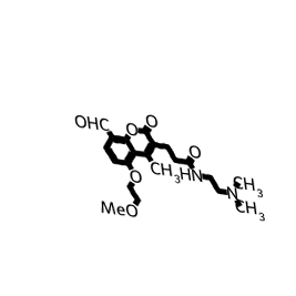 COCCOc1ccc(C=O)c2oc(=O)c(CCC(=O)NCCN(C)C)c(C)c12